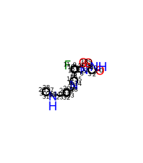 O=C1CCC(N2Cc3c(cc(F)cc3C3CCN(Cc4ccc(CCNC5CCCCC5)cc4)CC3)C2=O)C(=O)N1